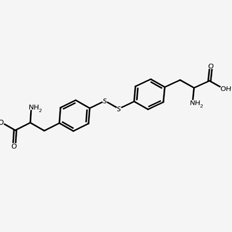 NC(Cc1ccc(SSc2ccc(CC(N)C(=O)O)cc2)cc1)C(=O)O